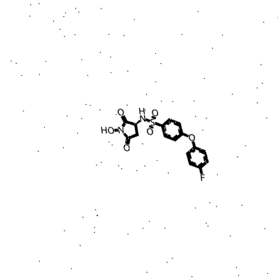 O=C1C[C@H](NS(=O)(=O)c2ccc(Oc3ccc(F)cc3)cc2)C(=O)N1O